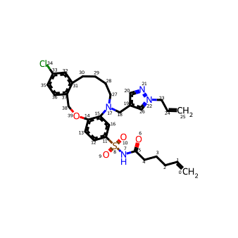 C=CCCCC(=O)NS(=O)(=O)c1ccc2c(c1)N(Cc1cnn(CC=C)c1)CCCCc1cc(Cl)ccc1CO2